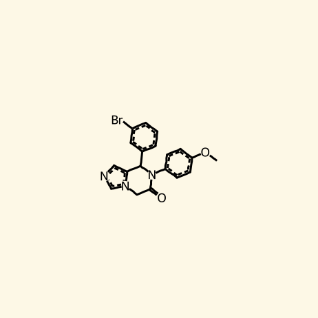 COc1ccc(N2C(=O)Cn3cncc3C2c2cccc(Br)c2)cc1